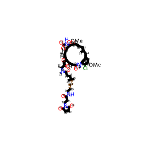 COc1cc2cc(c1Cl)N(C)C(=O)C[C@@H]1OC([C@H](C)N(C)C(=O)CCC(C)(C)SSCCNC(=O)CCN3C(=O)C=CC3=O)=C[C@]13O[C@H]3[C@H](C)[C@@H]1C[C@@](O)(NC(=O)O1)[C@H](OC)/C=C/C=C(\C)C2